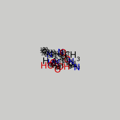 CNC.Cc1c(OCc2ccc(C#N)cn2)ccc2c(CCC3CCN(Cc4ccccc4)CC3)noc12.O=C(O)C=CC(=O)O